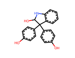 Oc1ccc(C2(c3ccc(O)cc3)c3ccccc3NC2O)cc1